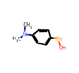 CN(C)c1ccc(PO)cc1